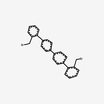 BrCc1ccccc1-c1ccc(-c2ccc(-c3ccccc3CBr)cc2)cc1